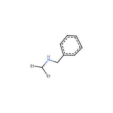 CCC(CC)NCc1ccccc1